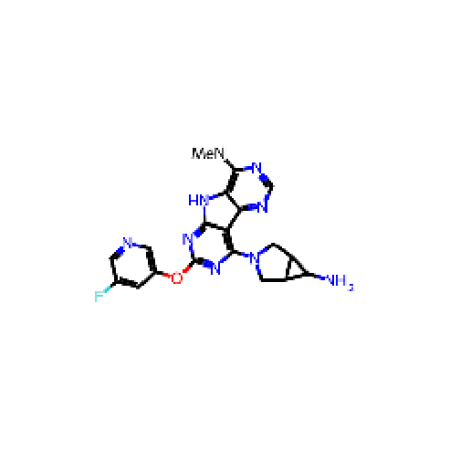 CNc1ncnc2c1[nH]c1nc(Oc3cncc(F)c3)nc(N3CC4C(N)C4C3)c12